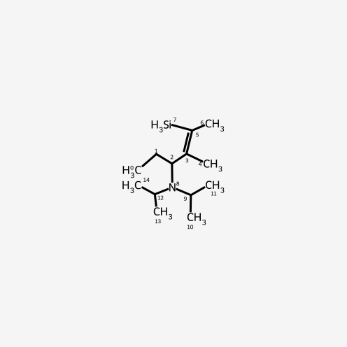 CCC(C(C)=C(C)[SiH3])N(C(C)C)C(C)C